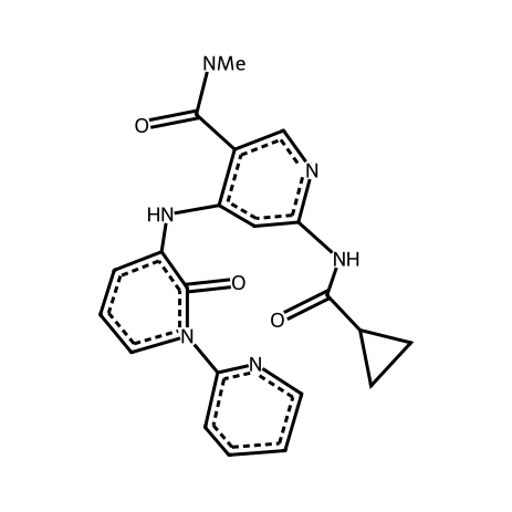 CNC(=O)c1cnc(NC(=O)C2CC2)cc1Nc1cccn(-c2ccccn2)c1=O